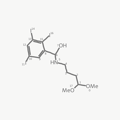 COC(CCCNC(O)c1cc(I)cc(I)c1I)OC